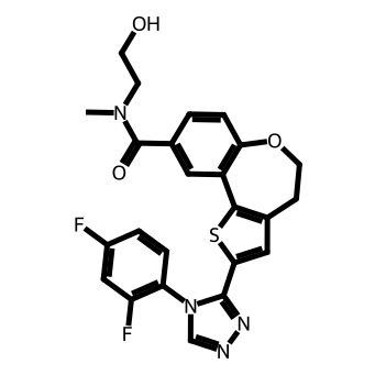 CN(CCO)C(=O)c1ccc2c(c1)-c1sc(-c3nncn3-c3ccc(F)cc3F)cc1CCO2